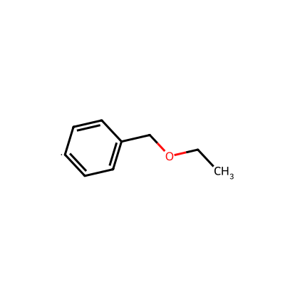 CCOCc1cc[c]cc1